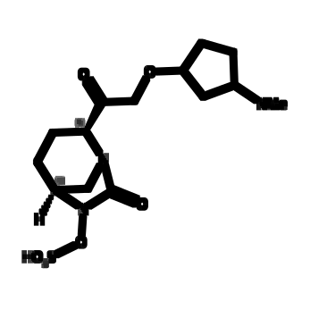 CNC1CCC(OCC(=O)[C@@H]2CC[C@H]3CN2C(=O)N3OS(=O)(=O)O)C1